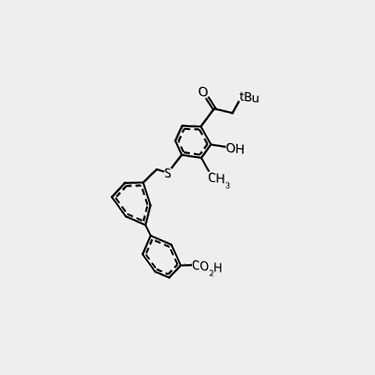 Cc1c(SCc2cccc(-c3cccc(C(=O)O)c3)c2)ccc(C(=O)CC(C)(C)C)c1O